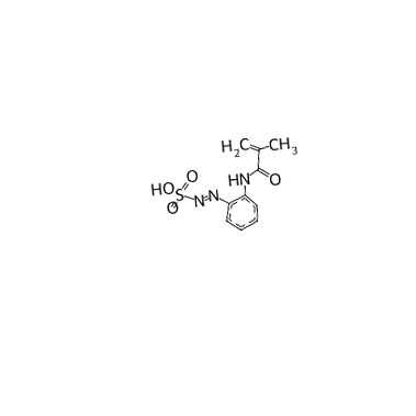 C=C(C)C(=O)Nc1ccccc1N=NS(=O)(=O)O